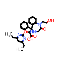 CCc1cc(CC)nc(OC(C(=O)O)C2(c3ccccc3)NCC(=O)N(CCO)c3ccccc32)n1